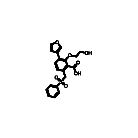 O=C(O)c1c(CS(=O)(=O)c2ccccc2)ccc(-c2ccoc2)c1OCCO